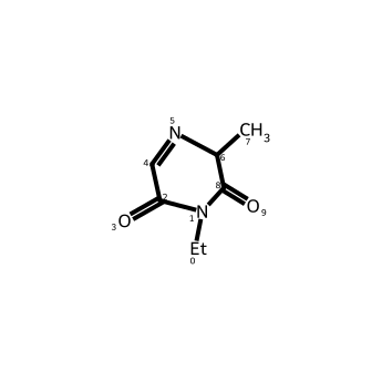 CCN1C(=O)C=NC(C)C1=O